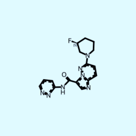 O=C(Nc1cccnn1)c1cnc2ccc(N3CCC[C@H](F)C3)nn12